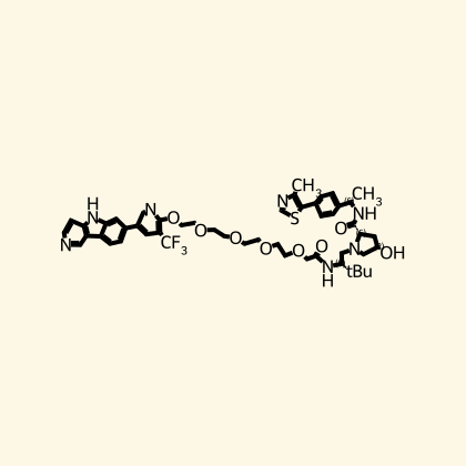 Cc1ncsc1-c1ccc([C@H](C)NC(=O)[C@@H]2C[C@@H](O)CN2C[C@@H](NC(=O)COCCOCCOCCOCCOc2ncc(-c3ccc4c(c3)[nH]c3ccncc34)cc2C(F)(F)F)C(C)(C)C)cc1